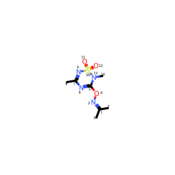 CC(C)=NOC1=NC(C)=NS(=O)(=O)N1C